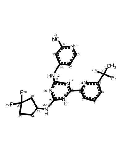 CC(F)(F)c1cccc(-c2nc(Nc3ccnc(C#N)c3)nc(NC3CCC(F)(F)C3)n2)n1